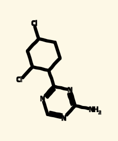 Nc1ncnc(C2CCC(Cl)CC2Cl)n1